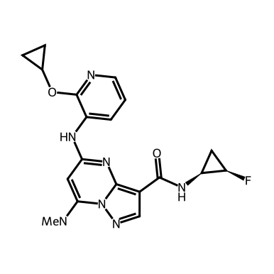 CNc1cc(Nc2cccnc2OC2CC2)nc2c(C(=O)N[C@H]3C[C@H]3F)cnn12